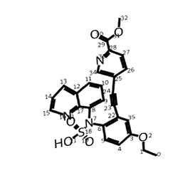 CCOc1ccc(N(c2cccc3cccnc23)S(=O)(=O)O)c(C#Cc2ccc(C(=O)OC)nc2)c1